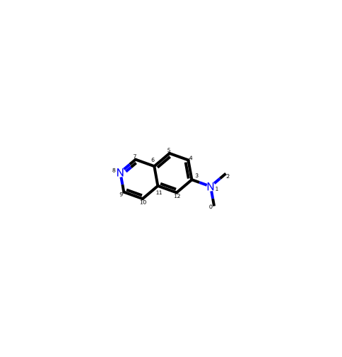 CN(C)c1ccc2cnccc2c1